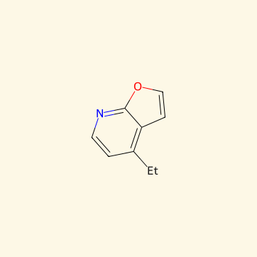 CCc1ccnc2occc12